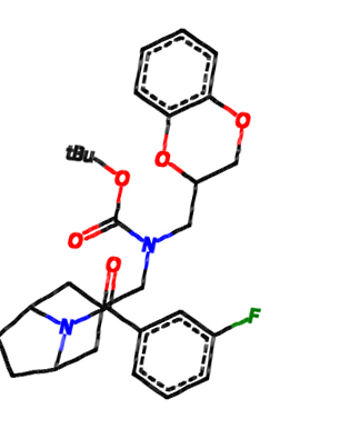 CC(C)(C)OC(=O)N(CC1CC2CCC(C1)N2C(=O)c1cccc(F)c1)CC1COc2ccccc2O1